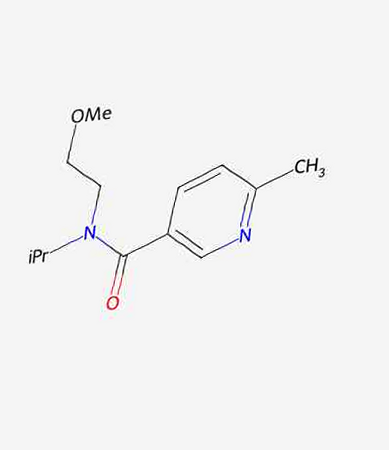 COCCN(C(=O)c1ccc(C)nc1)C(C)C